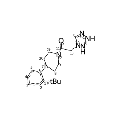 CC(C)(C)c1ccccc1N1CCN(C(=O)CN2C=NNN2)CC1